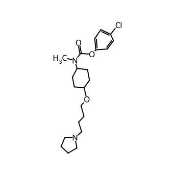 CN(C(=O)Oc1ccc(Cl)cc1)C1CCC(OCCCCN2CCCC2)CC1